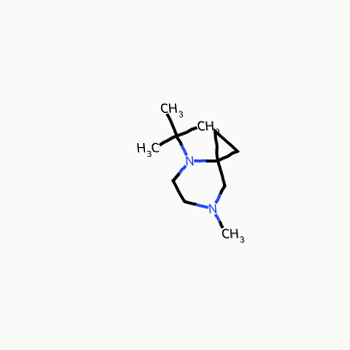 CN1CCN(C(C)(C)C)C2(CC2)C1